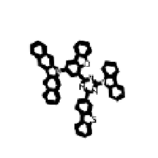 c1ccc2cc3c(cc2c1)c1cc2ccccc2cc1n3-c1cc(-c2nc(-c3ccc4c(c3)sc3ccccc34)nc(-n3c4ccccc4c4ccccc43)n2)c2oc3ccccc3c2c1